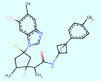 Bc1cc2c(cc1C)ncn2C1(S)CC(C)C(B)(C(C)C(=O)NC23CC(c4ccc(C)cc4)(C2)C3)C1